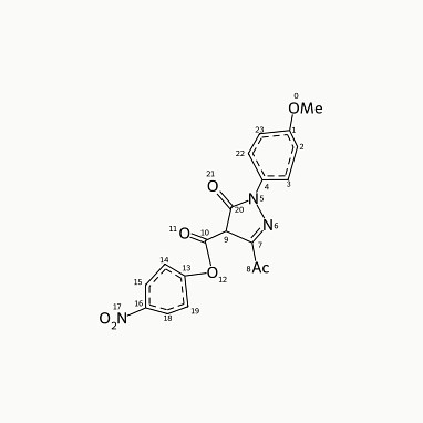 COc1ccc(N2N=C(C(C)=O)C(C(=O)Oc3ccc([N+](=O)[O-])cc3)C2=O)cc1